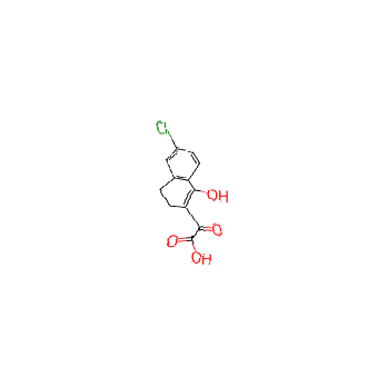 O=C(O)C(=O)C1=C(O)c2ccc(Cl)cc2CC1